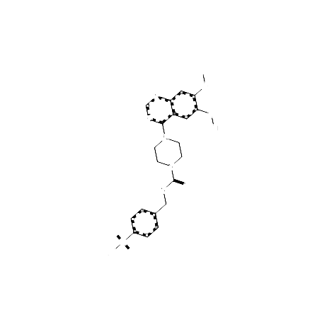 COc1cc2ncnc(N3CCN(C(=O)NCc4ccc(S(C)(=O)=O)cc4)CC3)c2cc1OC